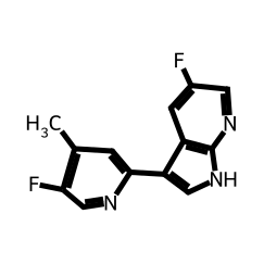 Cc1cc(-c2c[nH]c3ncc(F)cc23)ncc1F